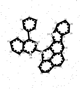 c1ccc(-c2nc(-n3c4cccc5ccc6cc7c8ccccc8sc7c3c6c54)nc3ccccc23)cc1